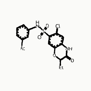 CCC1Oc2cc(S(=O)(=O)Nc3cccc(C(C)=O)c3)c(Cl)cc2NC1=O